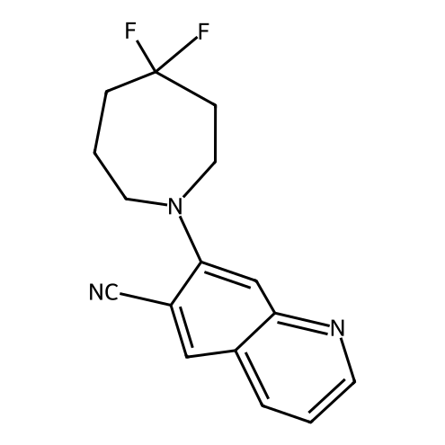 N#Cc1cc2cccnc2cc1N1CCCC(F)(F)CC1